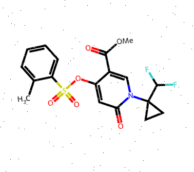 COC(=O)c1cn(C2(C(F)F)CC2)c(=O)cc1OS(=O)(=O)c1ccccc1C